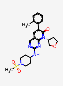 Cc1ccccc1-c1cc2cnc(NC3CCN(S(C)(=O)=O)CC3)nc2n([C@@H]2CCOC2)c1=O